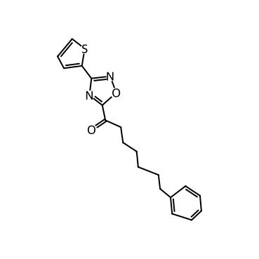 O=C(CCCCCCc1ccccc1)c1nc(-c2cccs2)no1